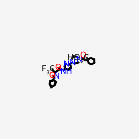 O=C(Nc1ccc(N2CCCN(C(=O)CC3(C(=O)O)CCCCC3)CC2)nc1)c1nc(-c2ccccc2)oc1C(F)(F)F